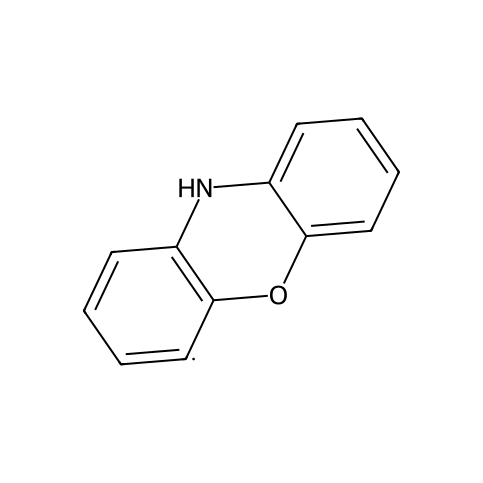 [c]1cccc2c1Oc1ccccc1N2